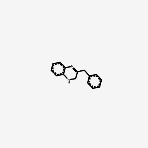 c1ccc(CC2=Nc3ccccc3NC2)cc1